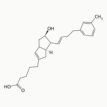 Cc1cccc(CC/C=C/C2[C@H]3CC(CCCCC(=O)O)=CC3C[C@H]2O)c1